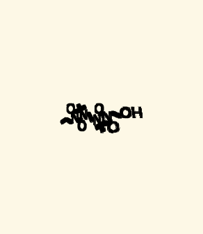 CCCN1C(=O)N(CCN2C(=O)N(CCO)C(=O)C2(C)C)C(C)(C)C1=O